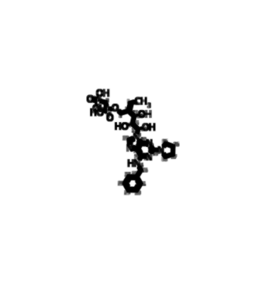 C/C=C(/COP(=O)(O)CP(=O)(O)O)[C@@H](O)[C@@H](O)[C@@H](O)n1cnc2c(NCc3ccccc3)nc(N3CCCC3)nc21